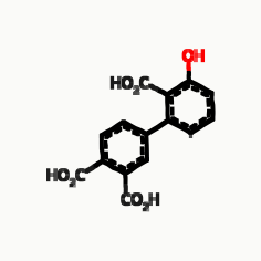 O=C(O)c1ccc(-c2[c]ccc(O)c2C(=O)O)cc1C(=O)O